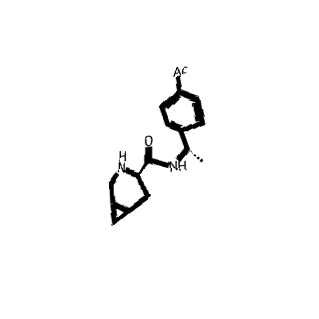 CC(=O)c1ccc([C@H](C)NC(=O)[C@H]2CC3CC3CN2)cc1